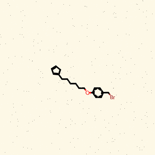 BrCc1ccc(OCCCCCCC2=CC=CC2)cc1